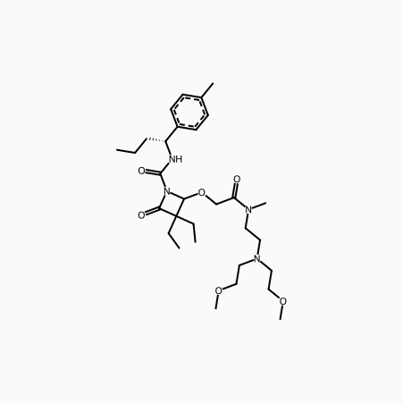 CCC[C@@H](NC(=O)N1C(=O)C(CC)(CC)C1OCC(=O)N(C)CCN(CCOC)CCOC)c1ccc(C)cc1